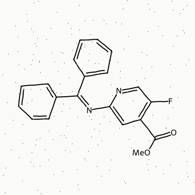 COC(=O)c1cc(N=C(c2ccccc2)c2ccccc2)ncc1F